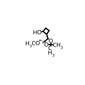 COC[C@H]1OC(C)(C)OC1C1CCC1O